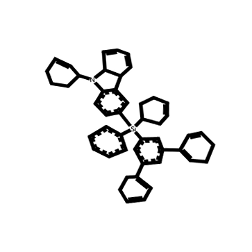 C1=CCCC(c2cc(C3=CCCC=C3)cc([Si](c3ccccc3)(c3ccc4c(c3)C3C=CC=CC3N4C3C=CCCC3)C3CC=CCC3)c2)=C1